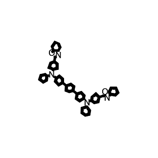 C1=CC2N=C(c3ccc(N(c4ccccc4)c4ccc(-c5ccc(-c6ccc(N(c7ccccc7)c7ccc(-c8nc9ccccc9o8)cc7)cc6)cc5)cc4)cc3)OC2C=C1